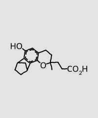 CC1(CCC(=O)O)CCc2cc(O)c3c(c2O1)C1CCC3C1